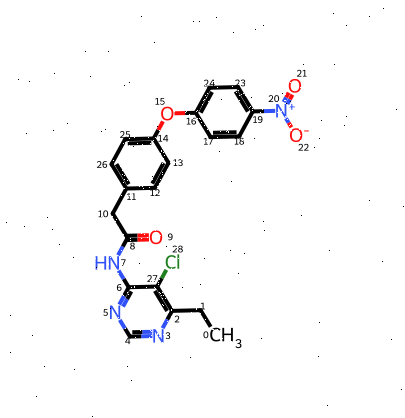 CCc1ncnc(NC(=O)Cc2ccc(Oc3ccc([N+](=O)[O-])cc3)cc2)c1Cl